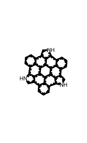 c1cc2c3c[nH]c4c5cccc6c7c[nH]c8c9cccc%10c%11c[nH]c%12c(c1)c2c1c(c34)c(c65)c(c78)c(c%109)c1c%11%12